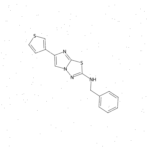 c1ccc(CNc2nn3cc(-c4ccsc4)nc3s2)cc1